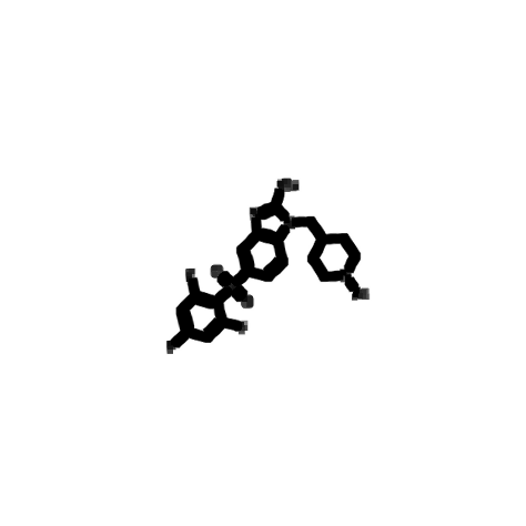 CC(=O)N1CCC(Cn2c(C(C)(C)C)nc3cc(S(=O)(=O)c4c(F)cc(F)cc4F)ccc32)CC1